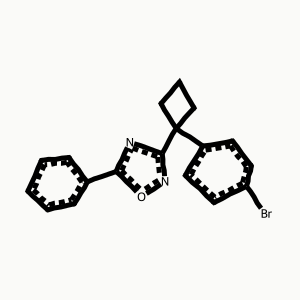 Brc1ccc(C2(c3noc(-c4ccccc4)n3)CCC2)cc1